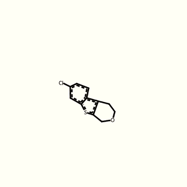 Clc1ccc2c3c(sc2c1)COCC3